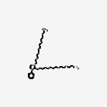 CCCCCCCCCCCCCCCC1N(CCCCCCCCCCCCCC)C=CN1c1ccccc1